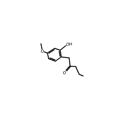 CCCC(=O)Cc1ccc(OC)cc1O